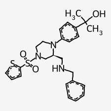 CC(C)(O)c1ccc(N2CCN(S(=O)(=O)c3cccs3)C[C@@H]2CNCc2ccccc2)cc1